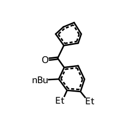 CCCCc1c(C(=O)c2ccccc2)ccc(CC)c1CC